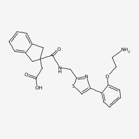 NCCOc1ccccc1-c1csc(CNC(=O)C2(CC(=O)O)Cc3ccccc3C2)n1